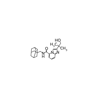 CC(C)(CO)c1cn2c(C(=O)NCC34CC5CC(CC(C5)C3)C4)cccc2n1